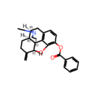 C=C1CC[C@H]2[C@H]3Cc4ccc(OC(=O)c5ccccc5)c5c4[C@@]2(CCN3C)[C@H]1O5